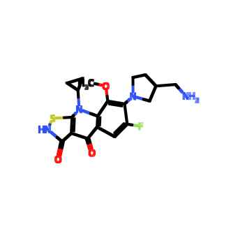 COc1c(N2CCC(CN)C2)c(F)cc2c(=O)c3c(=O)[nH]sc3n(C3CC3)c12